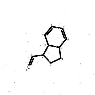 O=CC1CCC2C=CC=CC12